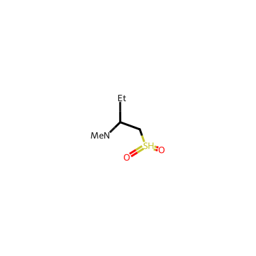 CCC(C[SH](=O)=O)NC